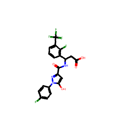 O=C(O)CC(NC(=O)c1cc(O)n(-c2ccc(F)cc2)n1)c1cccc(C(F)(F)F)c1F